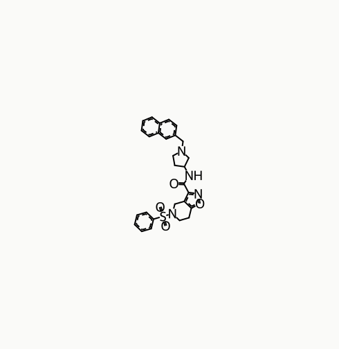 O=C(NC1CCN(Cc2ccc3ccccc3c2)C1)c1noc2c1CN(S(=O)(=O)c1ccccc1)CC2